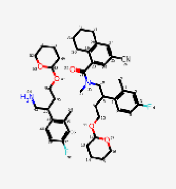 Cc1cc(F)ccc1C(CCOC1CCCCO1)CN(C)C(=O)c1cc(C#N)cc2c1CCCC2.Cc1cc(F)ccc1C(CN)CCOC1CCCCO1